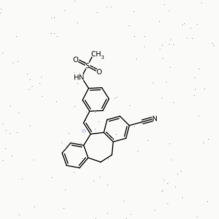 CS(=O)(=O)Nc1cccc(/C=C2/c3ccccc3CCc3cc(C#N)ccc32)c1